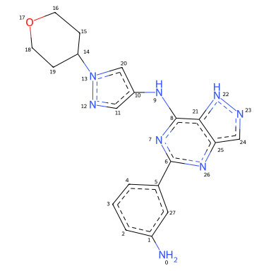 Nc1cccc(-c2nc(Nc3cnn(C4CCOCC4)c3)c3[nH]ncc3n2)c1